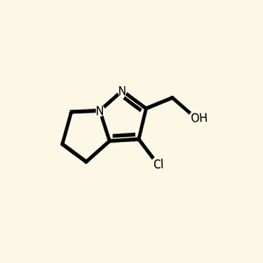 OCc1nn2c(c1Cl)CCC2